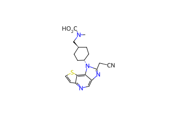 CN(C[C@H]1CC[C@H](n2c(CC#N)nc3cnc4ccsc4c32)CC1)C(=O)O